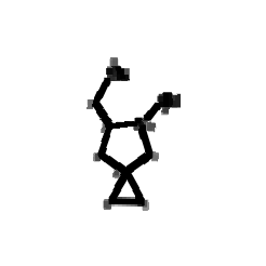 CC(C)(C)CC1CC2(CC2)CN1C(C)(C)C